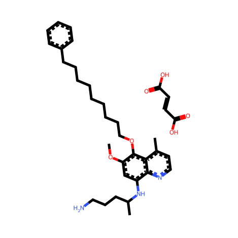 COc1cc(NC(C)CCCN)c2nccc(C)c2c1OCCCCCCCCCc1ccccc1.O=C(O)/C=C/C(=O)O